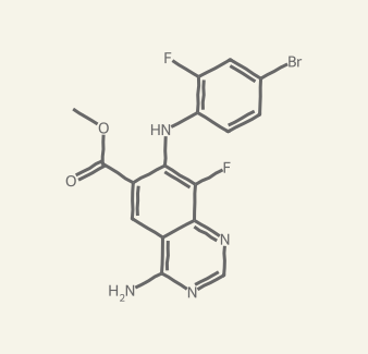 COC(=O)c1cc2c(N)ncnc2c(F)c1Nc1ccc(Br)cc1F